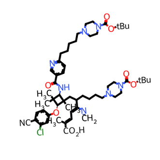 C=N/C(=C\C=C(/C)C(=O)O)C(CCCCN1CCN(C(=O)OC(C)(C)C)CC1)CC1(C)[C@H](NC(=O)c2ccc(CCCCCN3CCN(C(=O)OC(C)(C)C)CC3)nc2)C(C)(C)[C@H]1Oc1ccc(C#N)c(Cl)c1